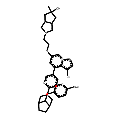 COc1ccc(CC2C3CCC2CN(c2ccc(-c4cc(OCCN5CC6CC(C)(O)CC6C5)cn5ncc(C#N)c45)cn2)C3)cn1